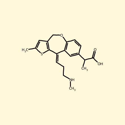 CNCC/C=C1\c2cc(C(C)C(=O)O)ccc2OCc2cc(C)sc21